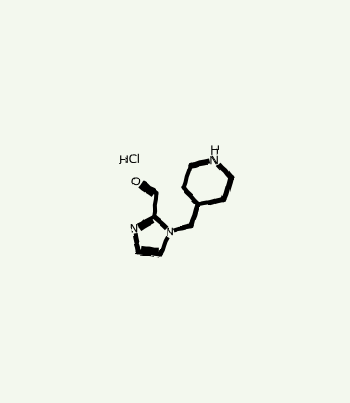 Cl.O=Cc1nccn1CC1CCNCC1